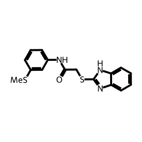 CSc1cccc(NC(=O)CSc2nc3ccccc3[nH]2)c1